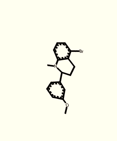 COc1cccc(C2CCc3c(Br)cccc3N2C)c1